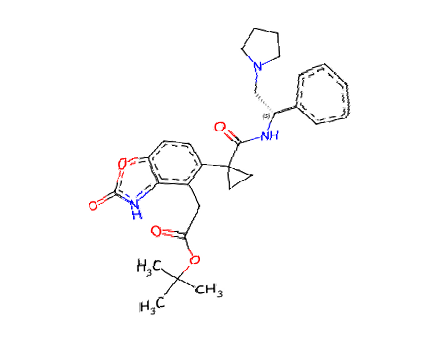 CC(C)(C)OC(=O)Cc1c(C2(C(=O)N[C@H](CN3CCCC3)c3ccccc3)CC2)ccc2oc(=O)[nH]c12